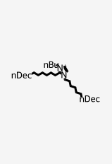 CCCCCCCCCCCCCCCCc1n(CCCCCCCCCCCCCCCC)cc[n+]1CCCC